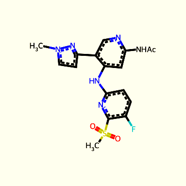 CC(=O)Nc1cc(Nc2ccc(F)c(S(C)(=O)=O)n2)c(-c2ccn(C)n2)cn1